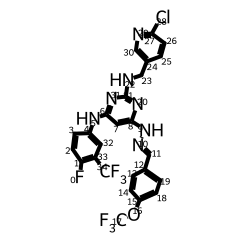 Fc1ccc(Nc2cc(N/N=C/c3ccc(OC(F)(F)F)cc3)nc(NCc3ccc(Cl)nc3)n2)cc1C(F)(F)F